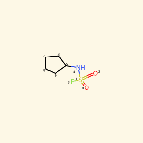 O=S(=O)(F)NC1CCCC1